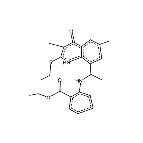 CCOC(=O)c1ccccc1NC(C)c1cc(C)cc2c(=O)c(C)c(SCC)[nH]c12